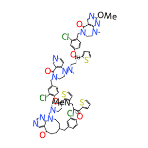 CNCC[C@H](Oc1ccc(CC2CCC(=O)c3cncnc3N(CN(C)CC[C@H](Oc3ccc(CN4CCN(N(C)CC[C@H](Oc5ccc(CN6CCN(C)c7nc(OC)ncc7C6=O)c(Cl)c5)c5cccs5)c5ccncc5C4=O)cc3Cl)c3cccs3)CC2)cc1Cl)c1cccs1